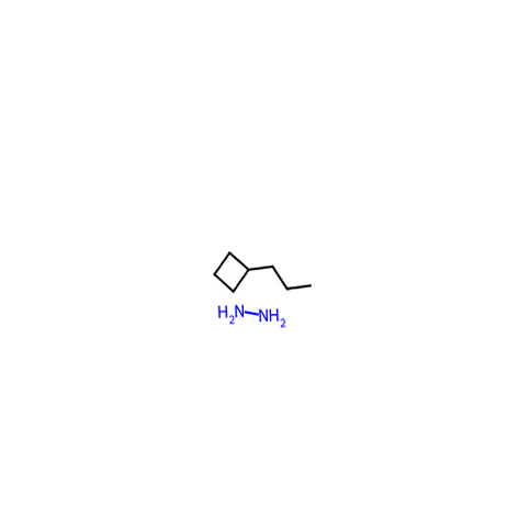 CCCC1CCC1.NN